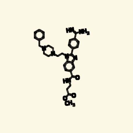 COC(=O)CCNC(=O)c1ccc2c(c1)nc(-c1ccc(C(=N)N)cc1)n2CCN1CCN(Cc2ccccc2)CC1